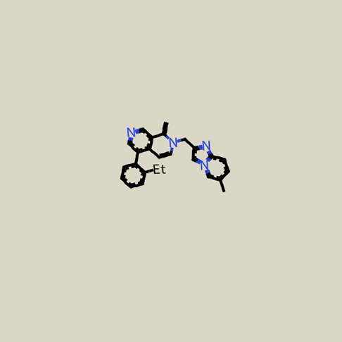 C=C1c2cncc(-c3ccccc3CC)c2C=CN1Cc1cn2cc(C)ccc2n1